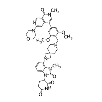 COc1cc(-c2cn(C)c(=O)c3cnc(N4CCOCC4)cc23)cc(OC)c1CN1CCC2(CC1)CN(c1cccc3c1n(C)c(=O)n3C1CCC(=O)NC1=O)C2